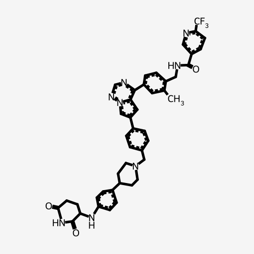 Cc1cc(-c2ncnn3cc(-c4ccc(CN5CCC(c6ccc(NC7CCC(=O)NC7=O)cc6)CC5)cc4)cc23)ccc1CNC(=O)c1ccc(C(F)(F)F)nc1